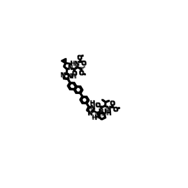 COC(=O)NC(C(=O)N1[C@@H]2CC[C@@H](C2)[C@H]1c1ncc(-c2ccc(-c3ccc4cc(-c5cnc(C6CC7(CC7)CN6C(=O)[C@@H](NC(=O)OC)[C@H](C)OC)[nH]5)ccc4c3)cc2)[nH]1)C(C)C